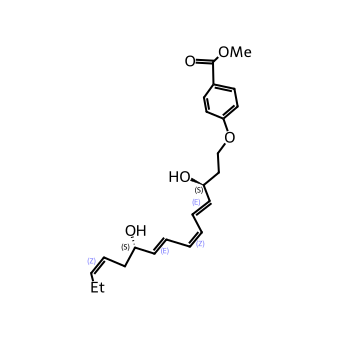 CC/C=C\C[C@H](O)/C=C/C=C\C=C\[C@@H](O)CCOc1ccc(C(=O)OC)cc1